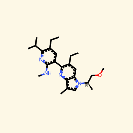 CCc1cc2c(nc1-c1cc(CC)c(C(C)C)nc1NC)c(C)cn2[C@H](C)COC